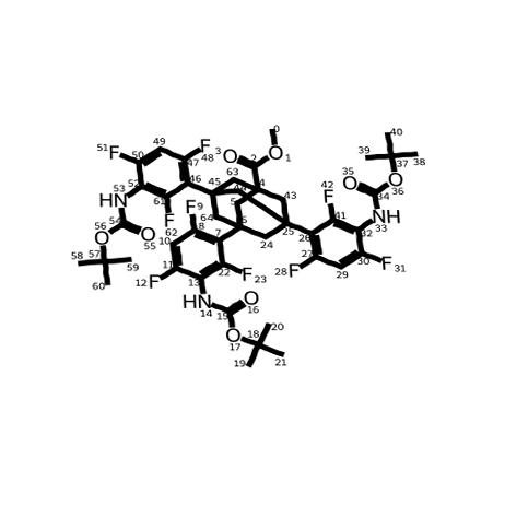 COC(=O)C12CC3(c4c(F)cc(F)c(NC(=O)OC(C)(C)C)c4F)CC(c4c(F)cc(F)c(NC(=O)OC(C)(C)C)c4F)(C1)CC(c1c(F)cc(F)c(NC(=O)OC(C)(C)C)c1F)(C2)C3